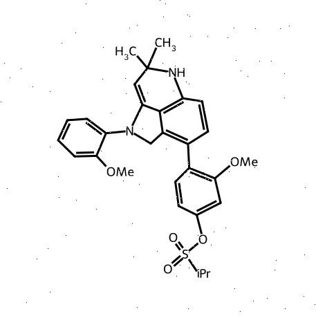 COc1cc(OS(=O)(=O)C(C)C)ccc1-c1ccc2c3c1CN(c1ccccc1OC)C3=CC(C)(C)N2